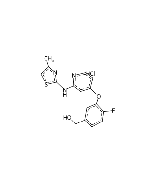 Cc1csc(Nc2cc(Oc3cc(CO)ccc3F)ccn2)n1.Cl